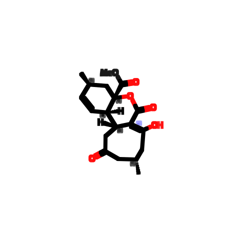 COC(=O)[C@]12C[C@H](C)C=C[C@@H]1[C@H]1CC(=O)C[C@@H](C)C/C(O)=C\1C(=O)O2